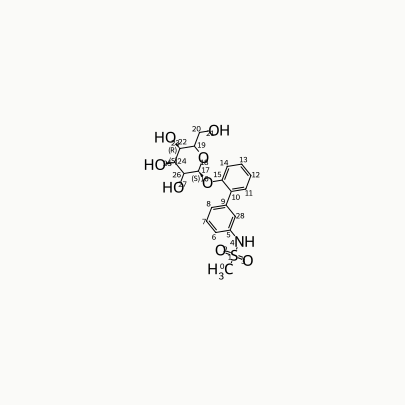 CS(=O)(=O)Nc1cccc(-c2ccccc2O[C@@H]2OC(CO)[C@H](O)[C@H](O)C2O)c1